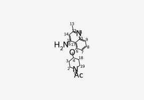 CC(=O)N1CCC(Oc2cccc3nc(C)cc(N)c23)CC1